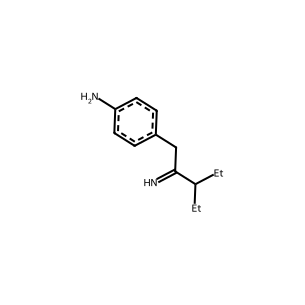 CCC(CC)C(=N)Cc1ccc(N)cc1